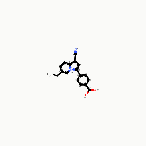 CCc1ccc2c(C#N)cc(-c3ccc(C(=O)O)cc3)n2c1